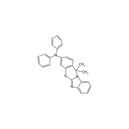 CC1(C)c2ccc(N(c3ccccc3)c3ccccc3)cc2Oc2nc3ccccc3n21